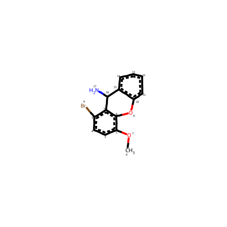 COc1ccc(Br)c2c1Oc1ccccc1C2N